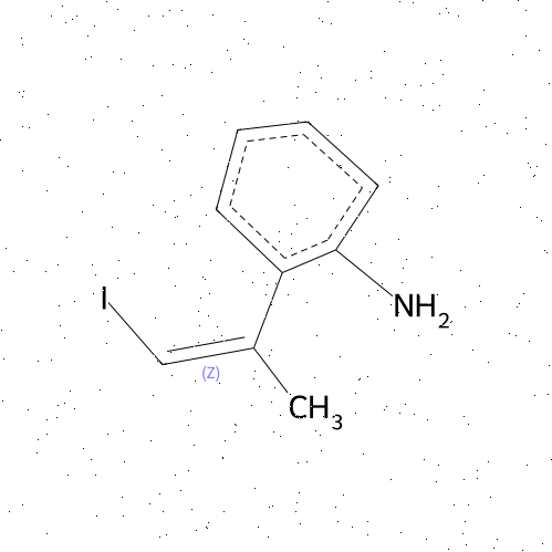 C/C(=C/I)c1ccccc1N